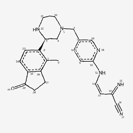 Cc1c([C@@H]2CN(Cc3ccc(N/C=C\C(=N)C#N)nc3)CCN2)ccc2c1CCC2=O